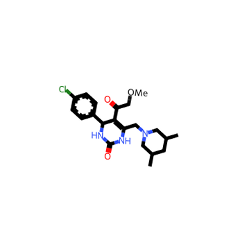 COCC(=O)C1=C(CN2CC(C)CC(C)C2)NC(=O)NC1c1ccc(Cl)cc1